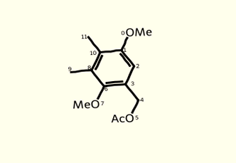 COc1cc(COC(C)=O)c(OC)c(C)c1C